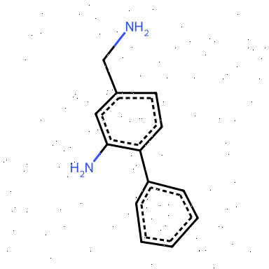 NCc1ccc(-c2ccccc2)c(N)c1